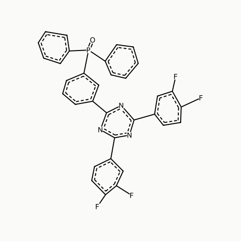 O=P(c1ccccc1)(c1ccccc1)c1cccc(-c2nc(-c3ccc(F)c(F)c3)nc(-c3ccc(F)c(F)c3)n2)c1